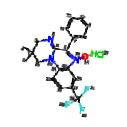 CC1(C)CN=C2C(c3ccccc3)=[N+]([O-])c3cc(C(F)(F)F)ccc3N2C1.Cl